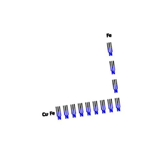 C#N.C#N.C#N.C#N.C#N.C#N.C#N.C#N.C#N.C#N.C#N.C#N.[Cu].[Fe].[Fe]